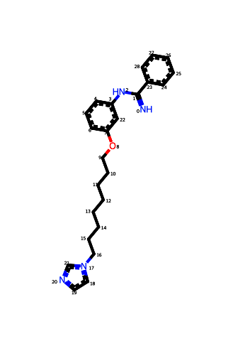 N=C(Nc1cccc(OCCCCCCCCn2ccnc2)c1)c1ccccc1